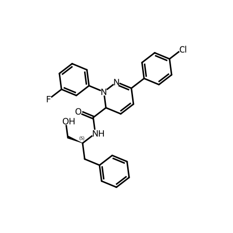 O=C(N[C@H](CO)Cc1ccccc1)C1C=CC(c2ccc(Cl)cc2)=NN1c1cccc(F)c1